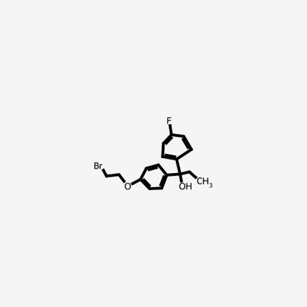 CCC(O)(c1ccc(F)cc1)c1ccc(OCCBr)cc1